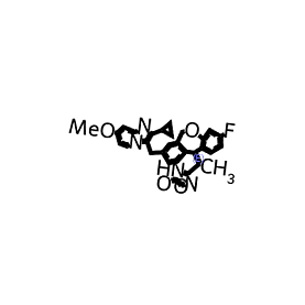 COc1ccn2c(Cc3ccc4c(c3)COc3cc(F)ccc3/C4=C(\C)c3noc(=O)[nH]3)c(C3CC3)nc2c1